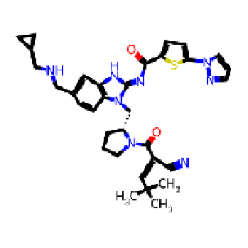 CC(C)(C)/C=C(\C#N)C(=O)N1CCC[C@@H]1Cn1/c(=N/C(=O)c2ccc(-n3cccn3)s2)[nH]c2cc(CNCC3CC3)ccc21